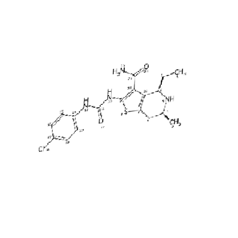 CC[C@H]1N[C@@H](C)Cc2sc(NC(=O)Nc3ccc(Cl)cc3)c(C(N)=O)c21